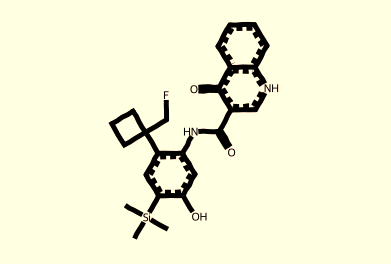 C[Si](C)(C)c1cc(C2(CF)CCC2)c(NC(=O)c2c[nH]c3ccccc3c2=O)cc1O